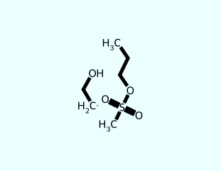 CCCOS(C)(=O)=O.[CH2]CO